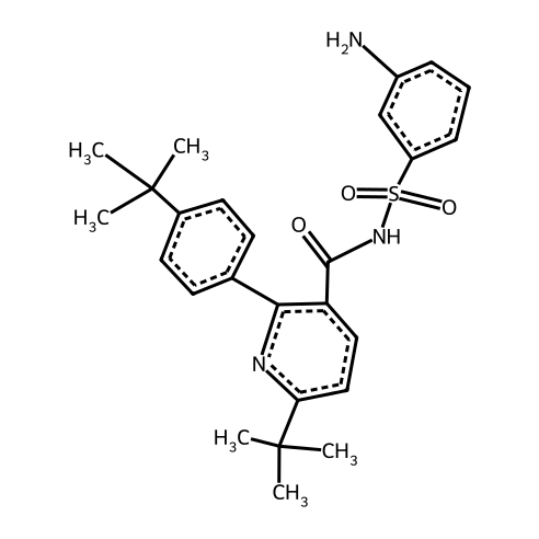 CC(C)(C)c1ccc(-c2nc(C(C)(C)C)ccc2C(=O)NS(=O)(=O)c2cccc(N)c2)cc1